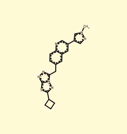 Cn1cc(-c2cnc3ccc(Cc4nnc5sc(C6CCC6)nn45)cc3c2)cn1